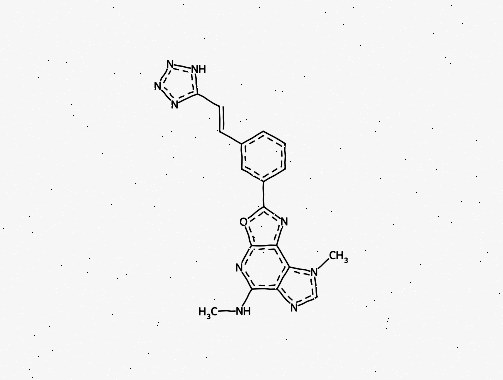 CNc1nc2oc(-c3cccc(C=Cc4nnn[nH]4)c3)nc2c2c1ncn2C